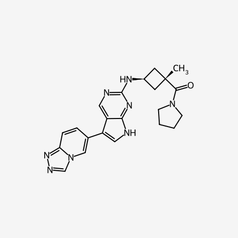 C[C@]1(C(=O)N2CCCC2)C[C@H](Nc2ncc3c(-c4ccc5nncn5c4)c[nH]c3n2)C1